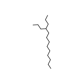 CCCCCCCCC[C](CCC)CCC